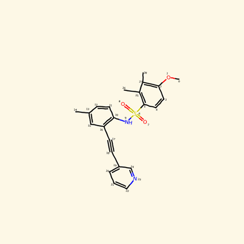 COc1ccc(S(=O)(=O)Nc2ccc(C)cc2C#Cc2cccnc2)c(C)c1C